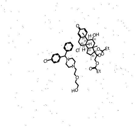 CCC(=O)OCC(=O)[C@@]1(OC(=O)CC)[C@H](C)C[C@H]2[C@H]3[C@H]([C@@H](O)C[C@@]21C)[C@@]1(C)C=CC(=O)C=C1C[C@H]3Cl.OCCOCCN1CCN(C(c2ccccc2)c2ccc(Cl)cc2)CC1